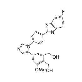 COc1cc(-c2cncn2-c2ccc(-c3nc4ccc(F)cc4s3)cc2)cc(CO)c1CO